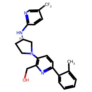 Cc1ccccc1-c1ccc(N2CC[C@H](Nc3ccc(C(F)(F)F)cn3)C2)c(CO)n1